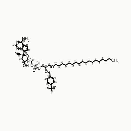 CCCCCCCCCCCCCCCCCCOC[C@H](COP(=O)(O)OC[C@H]1O[C@@](C#N)(c2ccc3c(N)ncnn23)C[C@@H]1O)OCc1ccc(C(F)(F)F)cc1